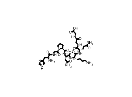 NCCCC[C@H](NC(=O)[C@H](CC(N)=O)NC(=O)[C@@H]1CCCN1C(=O)CNC(=O)[C@@H](N)Cc1c[nH]cn1)C(=O)N[C@@H](CCC(N)=O)C(=O)NCC(=O)NCC(=O)O